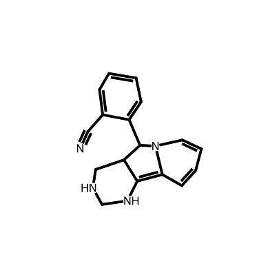 N#Cc1ccccc1C1C2CNCNC2=C2C=CC=CN21